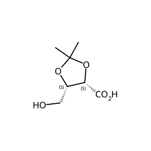 CC1(C)O[C@@H](CO)[C@@H](C(=O)O)O1